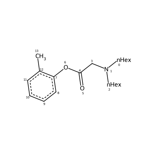 CCCCCCN(CCCCCC)CC(=O)Oc1ccccc1C